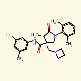 Cc1cccc(C)c1N1C[C@@](CN2CCC2)(C(=O)Nc2cc(C(F)(F)F)cc(C(F)(F)F)c2)[C@H](C)C1=O